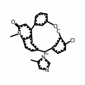 Cc1cncn1[C@H]1c2ccc(Cl)c(c2)COc2cccc(c2)-c2cc(=O)n(C)c3ccc1cc23